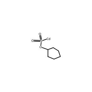 O=[S](=O)([Cd])OC1CCCCC1